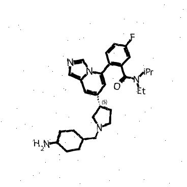 CCN(C(=O)c1cc(F)ccc1-c1cc([C@@H]2CCN(CC3CCC(N)CC3)C2)cc2cncn12)C(C)C